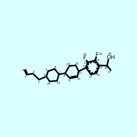 C=CCCC1CCC(C2C=CC(c3ccc(C(C)O)c(F)c3F)CC2)CC1